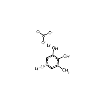 Cc1cccc(O)c1O.[Li+].[Li+].[Li+].[O-]B([O-])[O-]